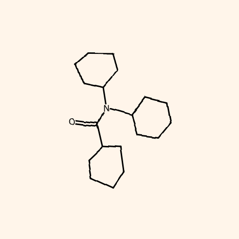 O=C(C1CCCCC1)N(C1CCCCC1)C1CCCCC1